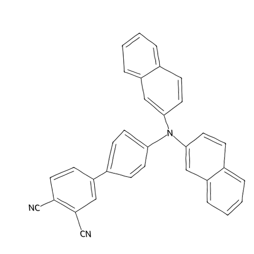 N#Cc1ccc(-c2ccc(N(c3ccc4ccccc4c3)c3ccc4ccccc4c3)cc2)cc1C#N